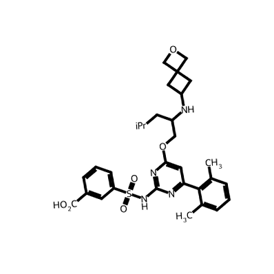 Cc1cccc(C)c1-c1cc(OCC(CC(C)C)NC2CC3(COC3)C2)nc(NS(=O)(=O)c2cccc(C(=O)O)c2)n1